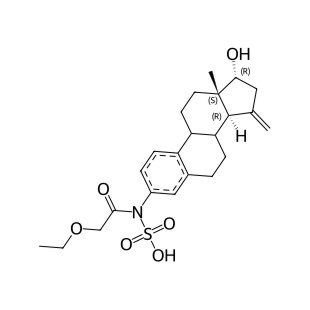 C=C1C[C@@H](O)[C@@]2(C)CCC3c4ccc(N(C(=O)COCC)S(=O)(=O)O)cc4CCC3[C@H]12